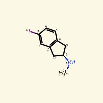 CN[C@@H]1Cc2ccc(I)cc2C1